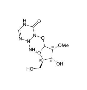 CO[C@H]1C(ON2C(=O)NC=NN2N)O[C@H](CO)[C@H]1O